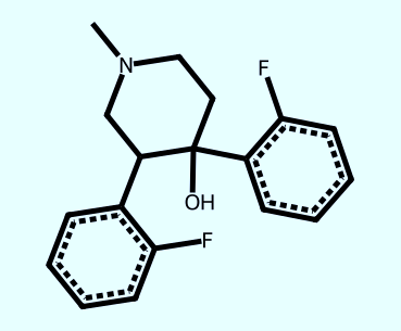 CN1CCC(O)(c2ccccc2F)C(c2ccccc2F)C1